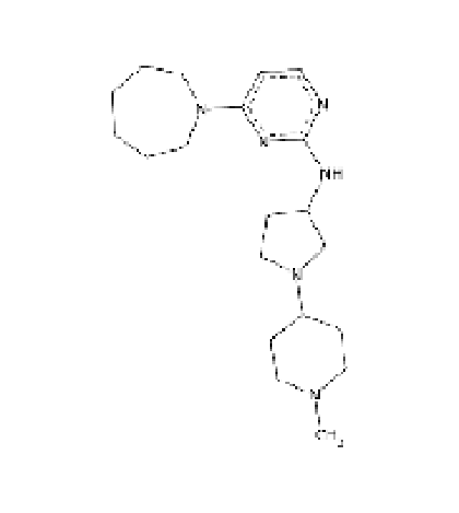 CN1CCC(N2CCC(Nc3nccc(N4CCCCCC4)n3)C2)CC1